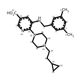 Cc1cc(C)cc(CNc2cc(C(=O)O)cnc2N2CCN(CCC3CC3)CC2)c1